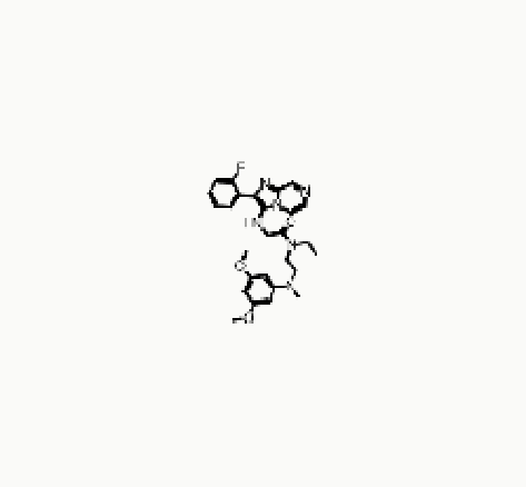 CCN(CCN(C)c1cc(OC)cc(OC)c1)C(=O)CNc1c(-c2ccccc2F)nc2cnccn12